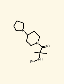 CC(C)NC(C)(C)C(=O)N1CCC(N2CCCC2)CC1